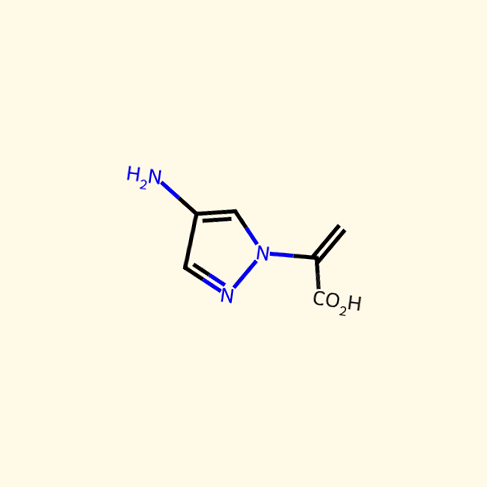 C=C(C(=O)O)n1cc(N)cn1